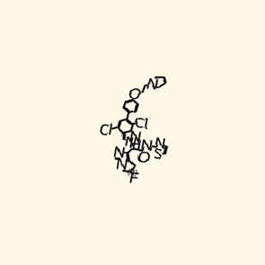 O=C(Nc1nccs1)C(c1ncn2c1C[C@@H](F)C2)n1cc2c(Cl)cc(-c3ccc(OCCN4CCCC4)cc3)c(Cl)c2n1